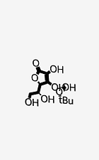 CC(C)(C)OO.O=C1O[C@H]([C@H](O)CO)C(O)=C1O